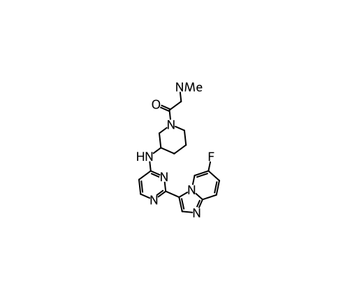 CNCC(=O)N1CCCC(Nc2ccnc(-c3cnc4ccc(F)cn34)n2)C1